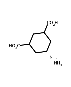 N.N.O=C(O)C1CCCC(C(=O)O)C1